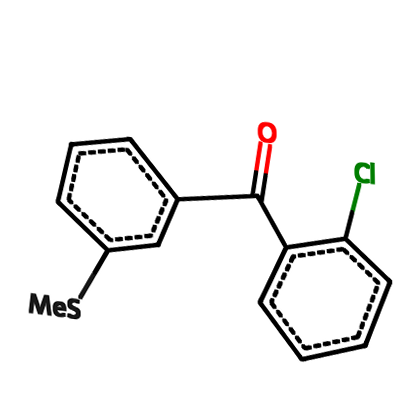 CSc1cccc(C(=O)c2ccccc2Cl)c1